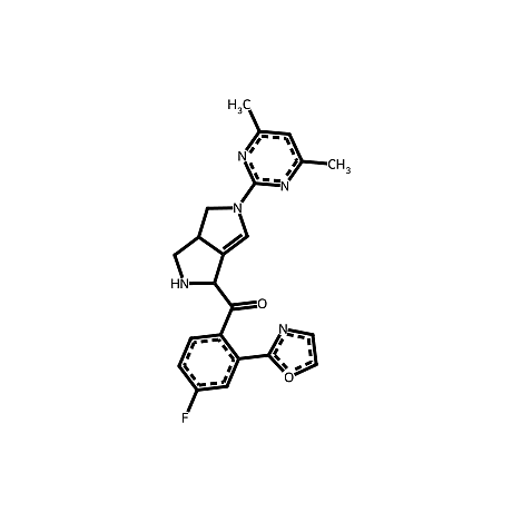 Cc1cc(C)nc(N2C=C3C(CNC3C(=O)c3ccc(F)cc3-c3ncco3)C2)n1